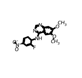 COc1cc2ncnc(NC3CC=C([N+](=O)[O-])C=C3F)c2cc1OC